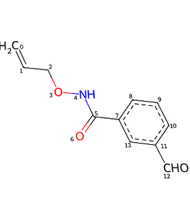 C=CCONC(=O)c1cccc(C=O)c1